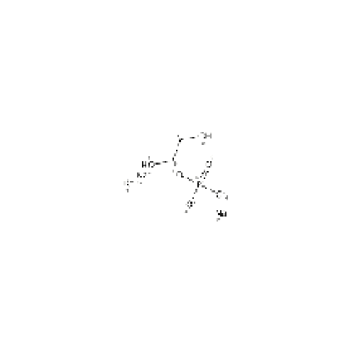 O=P([O-])([O-])[O-].OCCO.[K+].[Na+].[Na+]